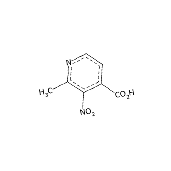 Cc1nccc(C(=O)O)c1[N+](=O)[O-]